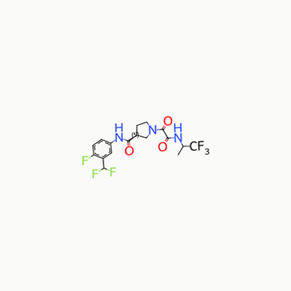 CC(NC(=O)C(=O)N1CC[C@H](C(=O)Nc2ccc(F)c(C(F)F)c2)C1)C(F)(F)F